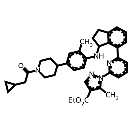 CCOC(=O)c1cnn(-c2cccc(-c3cccc4c3C(Nc3ccc(C5CCN(C(=O)CC6CC6)CC5)cc3C)CC4)n2)c1C